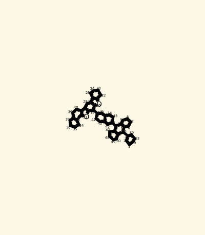 c1ccc(-c2c3ccccc3c(-c3ccc4cc(-c5c6oc7ccccc7c6cc6c5oc5c7ccccc7ccc65)ccc4c3)c3ccccc23)cc1